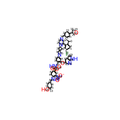 CC(C)c1ccccc1[C@@H]1CN(Cc2ccc(C3CCOC3)cc2)CCN1C1CC2(C1)CN(c1ccc(C(=O)NS(=O)(=O)c3ccc(NCC4CCC(C)(O)CC4)c([N+](=O)[O-])c3)c(Oc3cnc4[nH]cc(F)c4c3)c1)C2